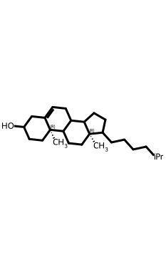 CC(C)CCCCC1CCC2C3CC=C4CC(O)CC[C@]4(C)C3CC[C@]12C